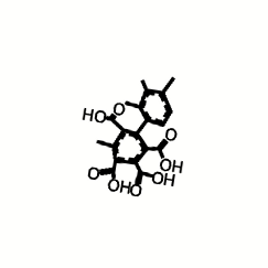 Cc1ccc(-c2c(C(=O)O)c(C)c(C(=O)O)c(C(=O)O)c2C(=O)O)c(C)c1C